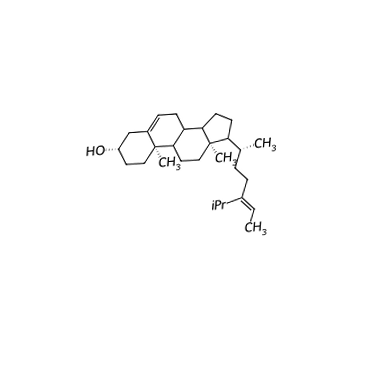 C/C=C(/CC[C@@H](C)C1CCC2C3CC=C4C[C@@H](O)CC[C@]4(C)C3CC[C@@]21C)C(C)C